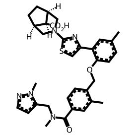 Cc1ccc(OCc2ccc(C(=O)N(C)Cc3ccnn3C)cc2C)c(-c2csc(N3C[C@H]4CC[C@@H](C3)[C@H]4C(=O)O)n2)c1